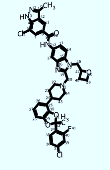 Cc1n[nH]c2c(Cl)cc(C(=O)Nc3ccc4c(c3)nc(CN3CCC(c5cccc6c5OC(C)(c5ccc(Cl)cc5F)O6)CC3)n4CC3CCO3)cc12